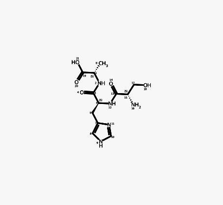 C[C@H](NC(=O)[C@H](Cc1c[nH]cn1)NC(=O)[C@@H](N)CO)C(=O)O